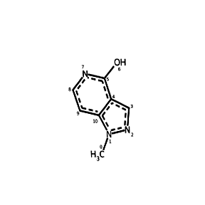 Cn1ncc2c(O)nccc21